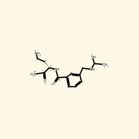 CC(S)NCc1cccc(C(=O)N[C@@H](CCN)C(N)=O)c1